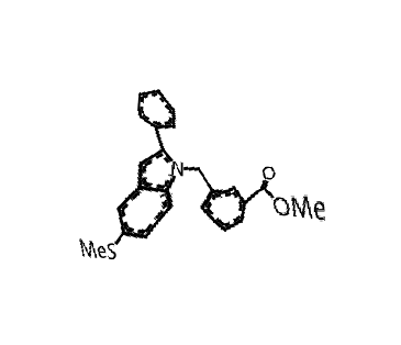 COC(=O)c1cccc(Cn2c(-c3ccccc3)cc3cc(SC)ccc32)c1